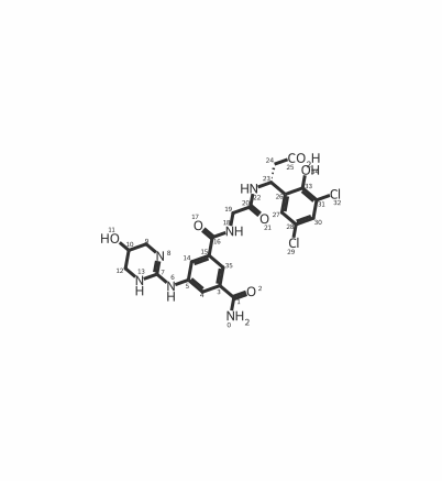 NC(=O)c1cc(NC2=NCC(O)CN2)cc(C(=O)NCC(=O)N[C@H](CC(=O)O)c2cc(Cl)cc(Cl)c2O)c1